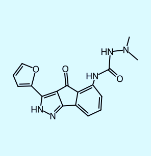 CN(C)NC(=O)Nc1cccc2c1C(=O)c1c-2n[nH]c1-c1ccco1